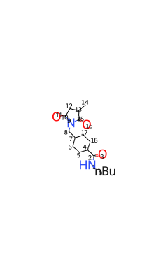 CCCCNC(=O)C1CCC(CN2C(=O)CC(C)C2=O)CC1